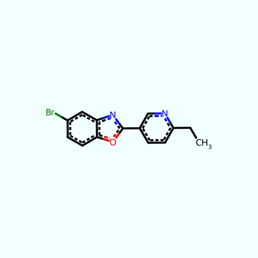 CCc1ccc(-c2nc3cc(Br)ccc3o2)cn1